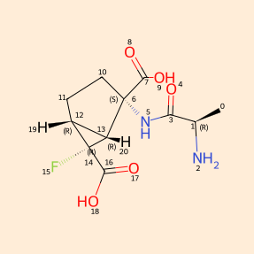 C[C@@H](N)C(=O)N[C@@]1(C(=O)O)CC[C@@H]2[C@H]1[C@@]2(F)C(=O)O